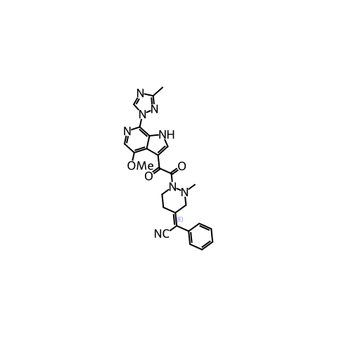 COc1cnc(-n2cnc(C)n2)c2[nH]cc(C(=O)C(=O)N3CC/C(=C(\C#N)c4ccccc4)CN3C)c12